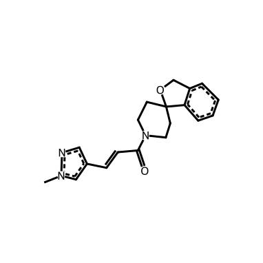 Cn1cc(/C=C/C(=O)N2CCC3(CC2)OCc2ccccc23)cn1